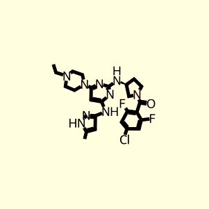 CCN1CCN(c2cc(Nc3cc(C)[nH]n3)nc(N[C@H]3CCN(C(=O)c4c(F)cc(Cl)cc4F)C3)n2)CC1